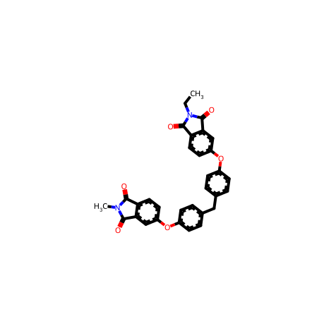 CCN1C(=O)c2ccc(Oc3ccc(Cc4ccc(Oc5ccc6c(c5)C(=O)N(C)C6=O)cc4)cc3)cc2C1=O